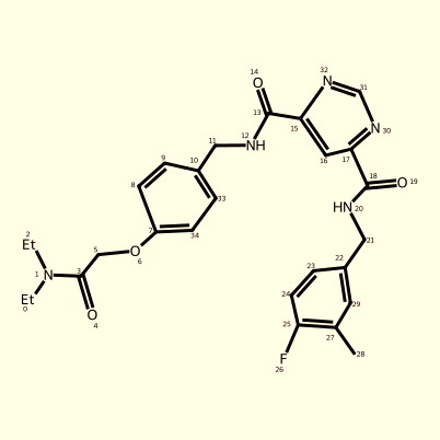 CCN(CC)C(=O)COc1ccc(CNC(=O)c2cc(C(=O)NCc3ccc(F)c(C)c3)ncn2)cc1